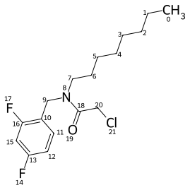 CCCCCCCCN(Cc1ccc(F)cc1F)C(=O)CCl